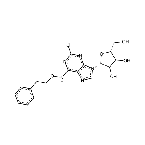 OC[C@H]1O[C@@H](n2cnc3c(NOCCc4ccccc4)nc(Cl)nc32)C(O)C1O